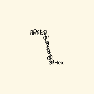 CCCCCCCCC(CCCCCC)COC(=O)CCC(=O)OCCC1CCN(CCSSCCN2CCC(CCOC(=O)CCC(=O)OCCCCCC)CC2)CC1